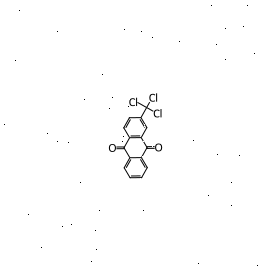 O=C1c2ccccc2C(=O)c2cc(C(Cl)(Cl)Cl)ccc21